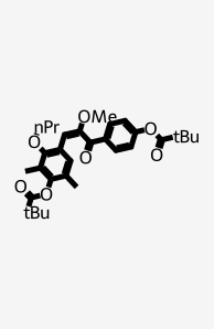 CCCOc1c(C=C(OC)C(=O)c2ccc(OC(=O)C(C)(C)C)cc2)cc(C)c(OC(=O)C(C)(C)C)c1C